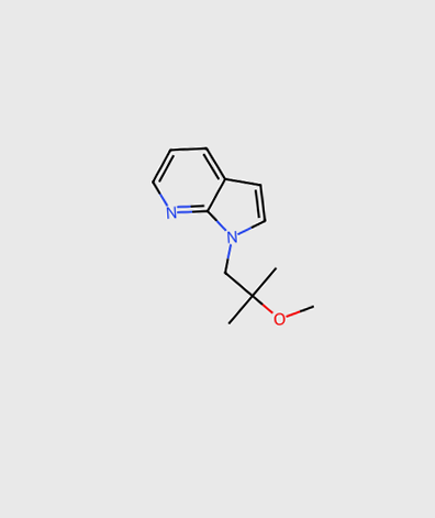 COC(C)(C)Cn1ccc2cccnc21